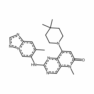 Cc1cc2ncnn2cc1Nc1ncc2c(n1)c(N1CCC(C)(C)CC1)cc(=O)n2C